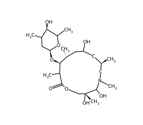 CC1C[C@H](O[C@@H]2C(C)C(=O)OC[C@@](C)(O)C(O)N(C)C[C@H](C)CC(O)C[C@H]2C)OC(C)[C@@H]1O